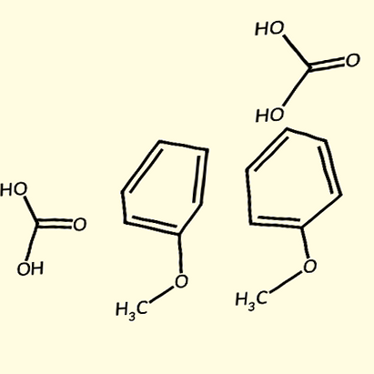 COc1ccccc1.COc1ccccc1.O=C(O)O.O=C(O)O